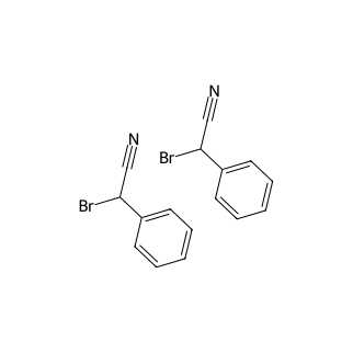 N#CC(Br)c1ccccc1.N#CC(Br)c1ccccc1